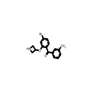 Cc1cccc(C(=O)c2ccc(Br)cc2OC2CNC2)c1